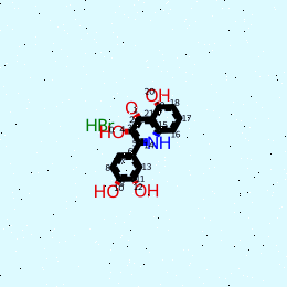 Br.O=c1c(O)c(-c2ccc(O)c(O)c2)[nH]c2cccc(O)c12